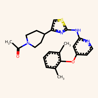 CC(=O)N1CCC(c2csc(Nc3cc(Oc4c(C)cccc4C)ccn3)n2)CC1